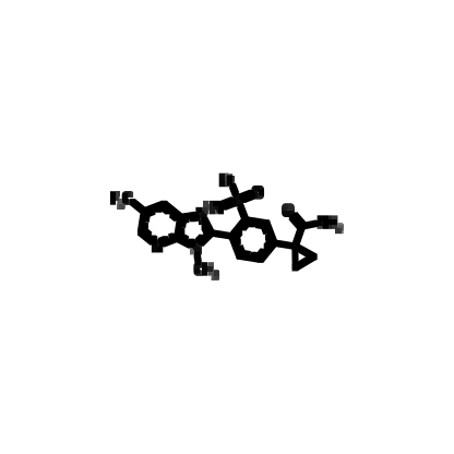 CCS(=N)(=O)c1cc(C2(C(N)=O)CC2)ccc1-c1nc2cc(C(F)(F)F)cnc2n1C